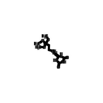 CCC[Si](OC)(OC)OC.O=c1[nH]c(=O)[nH]c(=O)[nH]1